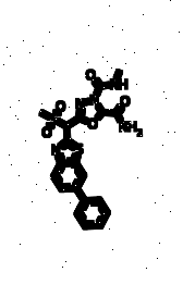 CNC(=O)N1N=C(C(c2nc3ccc(-c4ccccc4)cc3s2)S(C)(=O)=O)OC1C(N)=O